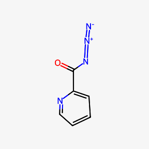 [N-]=[N+]=NC(=O)c1ccccn1